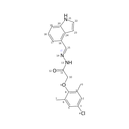 Cc1cc(Cl)cc(C)c1OCC(=O)N/N=C/c1cccc2[nH]ccc12